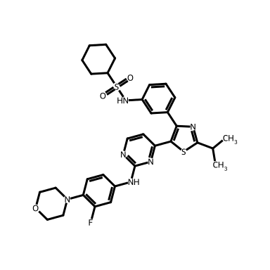 CC(C)c1nc(-c2cccc(NS(=O)(=O)C3CCCCC3)c2)c(-c2ccnc(Nc3ccc(N4CCOCC4)c(F)c3)n2)s1